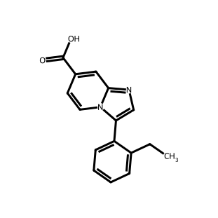 CCc1ccccc1-c1cnc2cc(C(=O)O)ccn12